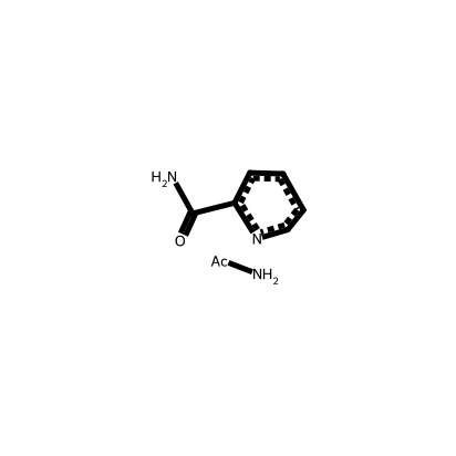 CC(N)=O.NC(=O)c1ccccn1